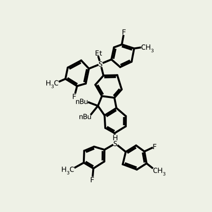 CCCCC1(CCCC)c2cc([SH](c3ccc(C)c(F)c3)c3ccc(C)c(F)c3)ccc2-c2ccc(S(CC)(c3ccc(C)c(F)c3)c3ccc(C)c(F)c3)cc21